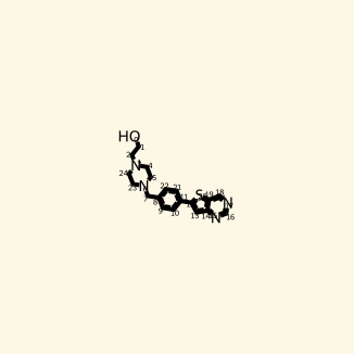 OCCN1CCN(Cc2ccc(-c3cc4ncn[c]c4s3)cc2)CC1